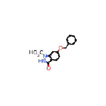 O=C(O)n1[nH]c(=O)c2ccc(OCc3ccccc3)cc21